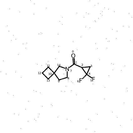 O=C(C1CC1(F)F)N1CCC2(CCC2)C1